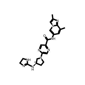 Cc1cn2cc(NC(=O)c3cnc(N4CC[C@@H](NC5=NCCN5)C4)cn3)cc(C)c2n1